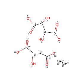 O=C([O-])C(O)C(O)C(=O)[O-].O=C([O-])CC(O)C(=O)[O-].[Ca+2].[Ca+2]